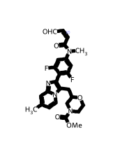 COC(=O)N1CCOC(Cc2c(-c3c(F)cc(N(C)C(=O)/C=C\C=O)cc3F)nc3cc(C)ccn23)C1